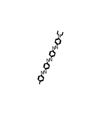 CCN(CC)c1ccc(N=Nc2ccc(N=Nc3ccc(N=Nc4ccc(C)cc4)cc3)cc2)cc1